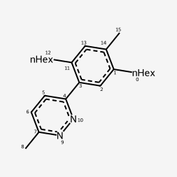 CCCCCCc1cc(-c2ccc(C)nn2)c(CCCCCC)cc1C